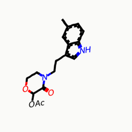 CC(=O)OC1OCCN(CCc2c[nH]c3ccc(C)cc23)C1=O